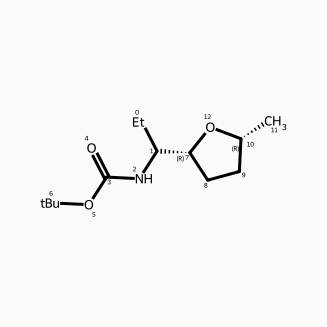 CCC(NC(=O)OC(C)(C)C)[C@H]1CC[C@@H](C)O1